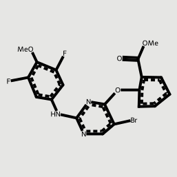 COC(=O)c1ccccc1Oc1nc(Nc2cc(F)c(OC)c(F)c2)ncc1Br